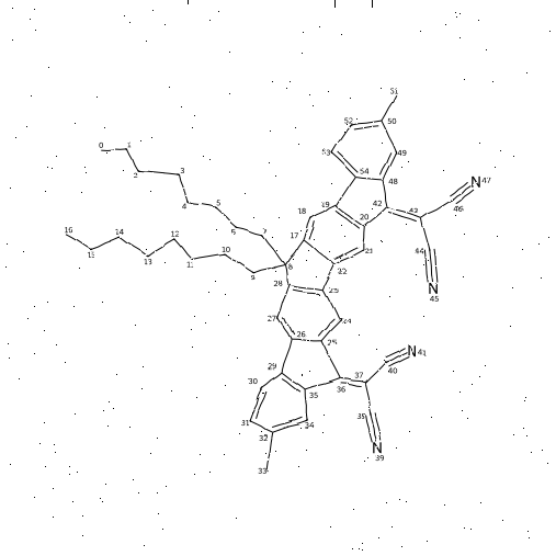 CCCCCCCCC1(CCCCCCCC)c2cc3c(cc2-c2cc4c(cc21)-c1ccc(C)cc1C4=C(C#N)C#N)C(=C(C#N)C#N)c1cc(C)ccc1-3